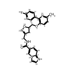 Cc1ccc(OCC2CC(CNC(=O)c3ccc4nccn4c3)=NO2)c(-c2ccc(F)nc2)n1